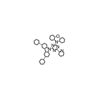 c1ccc(-c2ccc3c(c2)c2cc(-c4ccccc4)ccc2n3-c2nc(-c3ccccn3)nc(N3c4ccccc4Oc4ccccc43)n2)cc1